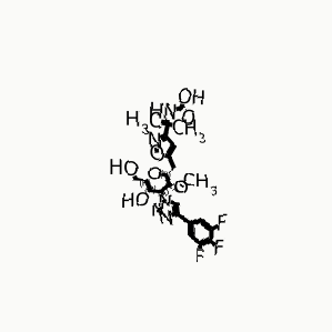 CO[C@@H]1[C@@H](n2cc(-c3cc(F)c(F)c(F)c3)nn2)[C@@H](O)[C@@H](CO)O[C@@H]1Cc1cc(C(C)(C)NC(=O)O)no1